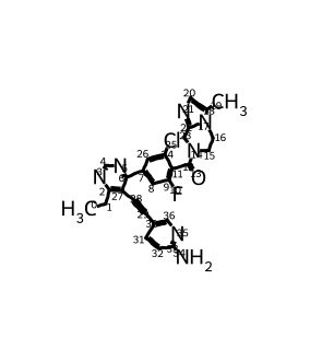 CCc1ncnc(-c2cc(F)c(C(=O)N3CCn4c(C)cnc4C3)c(Cl)c2)c1C#Cc1ccc(N)nc1